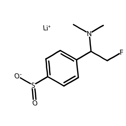 CN(C)C(CF)c1ccc(S(=O)[O-])cc1.[Li+]